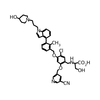 Cc1c(COc2cc(OCc3cncc(C#N)c3)c(CNC(CO)C(=O)O)cc2Cl)cccc1-c1cccc2c1ccn2CCCN1CCC(O)CC1